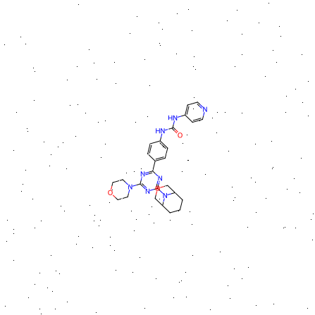 O=C(Nc1ccncc1)Nc1ccc(-c2nc(N3CCOCC3)nc(N3C4CCCC3COC4)n2)cc1